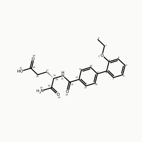 CCOc1ccccc1-c1ccc(C(=O)N[C@@H](CCC(=O)O)C(N)=O)cc1